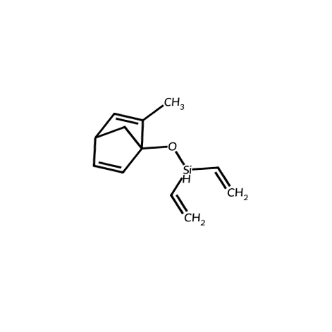 C=C[SiH](C=C)OC12C=CC(C=C1C)C2